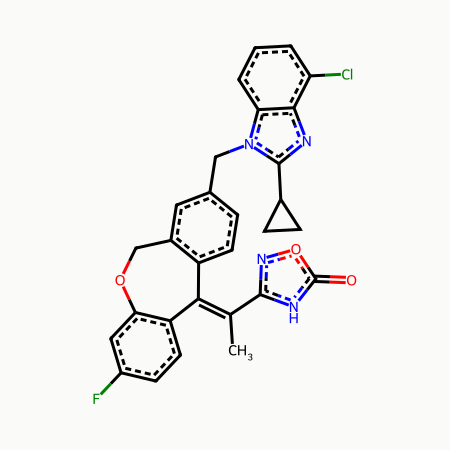 C/C(=C1/c2ccc(Cn3c(C4CC4)nc4c(Cl)cccc43)cc2COc2cc(F)ccc21)c1noc(=O)[nH]1